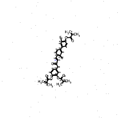 C=C(C)C(=O)Oc1ccc(-c2ccc(/C=C/C(=O)Cc3ccc(OC(=O)C(=C)C)c(OC(=O)C(=C)C)c3)c(F)c2)cc1F